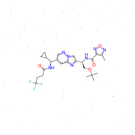 Cc1nonc1C(=O)N[C@@H](COC(C)(C)C)c1cn2ncc([C@@H](NC(=O)CCC(F)(F)F)C3CC3)cc2n1